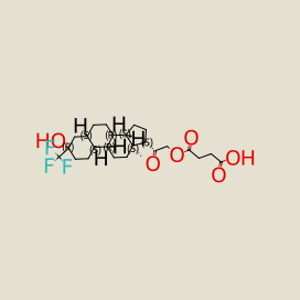 C[C@]12CC[C@H]3[C@@H](CC[C@H]4C[C@@](O)(C(F)(F)F)CC[C@@H]43)[C@@H]1CC[C@@H]2C(=O)COC(=O)CCC(=O)O